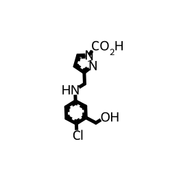 O=C(O)n1ccc(CNc2ccc(Cl)c(CO)c2)n1